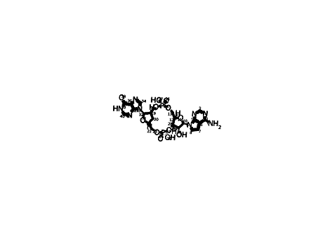 Nc1ncnc2c1ccn2[C@@H]1O[C@@H]2COP(=O)(O)O[C@@H]3C[C@@H](COP(=O)(O)O[C@H]2[C@H]1O)O[C@H]3n1cnc2c(=O)[nH]cnc21